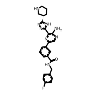 Nc1ncc(-c2cccc(C(=O)NCc3ccc(F)cc3)c2)nc1-c1nnc([C@H]2CCCNC2)[nH]1